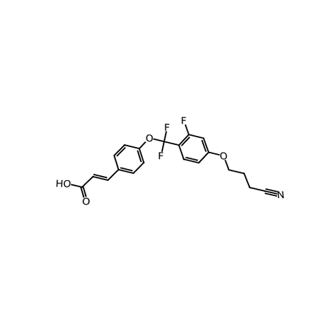 N#CCCCOc1ccc(C(F)(F)Oc2ccc(C=CC(=O)O)cc2)c(F)c1